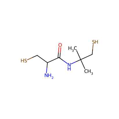 CC(C)(CS)NC(=O)C(N)CS